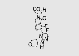 O=C(O)CCN1Cc2ccc(-c3nc(NC4CCOCC4)ncc3F)c(F)c2C1=O